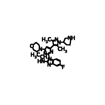 CNc1nc2cc(F)ccc2n1-c1nc(-c2c(C)nn(C3CCCNC3)c2C)cc(N2CCOC[C@H]2C)n1